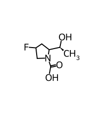 C[C@H](O)C1CC(F)CN1C(=O)O